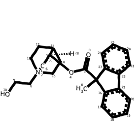 CC1(C(=O)O[C@H]2C[N+]3(CCO)CCC2CC3)c2ccccc2-c2ccccc21